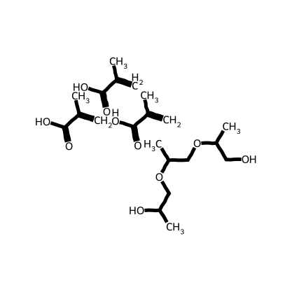 C=C(C)C(=O)O.C=C(C)C(=O)O.C=C(C)C(=O)O.CC(O)COC(C)COC(C)CO